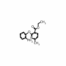 CCOC(=O)c1ccc(C)nc1Oc1ccccc1P